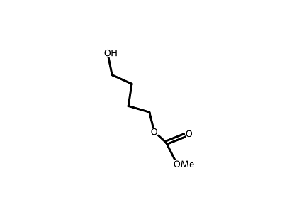 COC(=O)OCCCCO